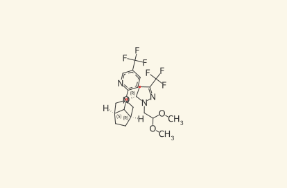 COC(CN1N=C(C(F)(F)F)C[C@H]1OC1[C@@H]2CC[C@H]1CN(c1ccc(C(F)(F)F)cn1)C2)OC